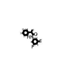 CC(C(=O)Nc1cc(F)cc(F)c1)c1ccccc1